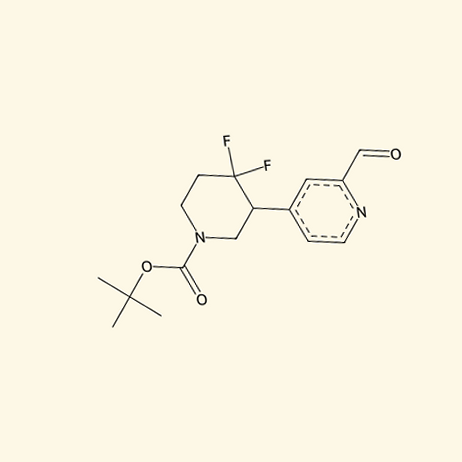 CC(C)(C)OC(=O)N1CCC(F)(F)C(c2ccnc(C=O)c2)C1